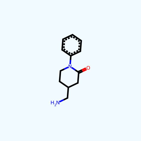 NCC1CCN(c2ccccc2)C(=O)C1